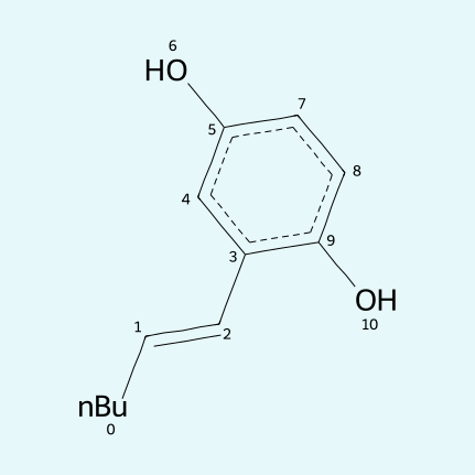 CCCCC=Cc1cc(O)ccc1O